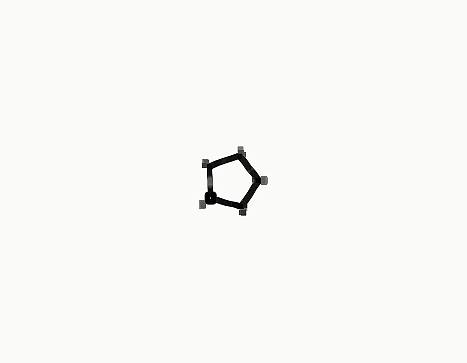 [C]1[C]CO[C]1